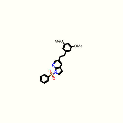 COc1cc(CCc2cnc3c(ccn3S(=O)(=O)c3ccccc3)c2)cc(OC)c1